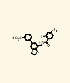 O=C(O)c1cccc(-c2cc3c(c(CNC(=O)c4ccc(C(F)(F)F)cc4F)c2)OCC3)c1